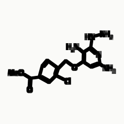 COC(=O)c1ccc(COc2cc(N)nc(NN)c2N)c(Cl)c1